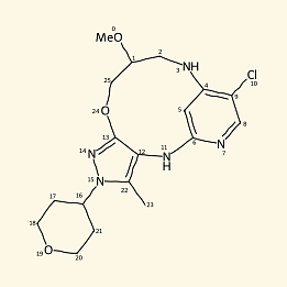 COC1CNc2cc(ncc2Cl)Nc2c(nn(C3CCOCC3)c2C)OC1